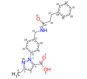 Cc1cc(C(=O)O)n(-c2ccc(CNC(=O)CCc3ccccc3)cc2)n1